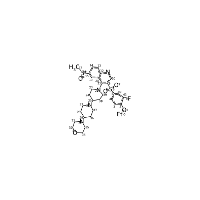 CCOc1ccc(S(=O)(=O)c2cnc3ccc([S+](C)[O-])cc3c2N2CCC(N3CCC(N4CCOCC4)CC3)CC2)cc1F